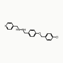 Clc1ccc(COc2ccc(CNNCc3ccncc3)cc2)cc1